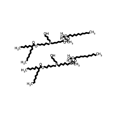 CCCCCCCCCCCC(OCC)O[Si](C)(C)OCCCCCCN(CCCCO)CCCCCCOC(=O)C(CCCCCC)CCCCCCCC.CCCCCCCCCCCC(OCC)O[Si](C)(C)OCCCCCCN(CCCCO)CCCCCCOC(=O)C(CCCCCC)CCCCCCCC